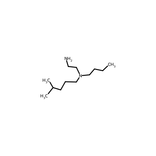 CCCCN(CCN)CCCC(C)C